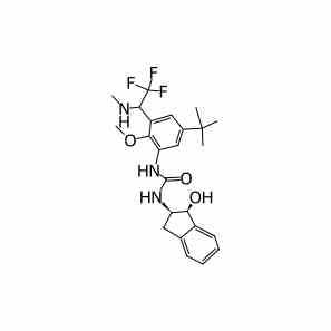 CNC(c1cc(C(C)(C)C)cc(NC(=O)N[C@@H]2Cc3ccccc3[C@@H]2O)c1OC)C(F)(F)F